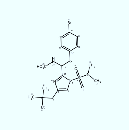 CCC(C)(C)Cc1cn(S(=O)(=O)N(C)C)c(C(Cc2ccc(Br)cc2)NC(=O)O)n1